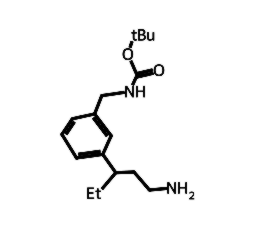 CCC(CCN)c1cccc(CNC(=O)OC(C)(C)C)c1